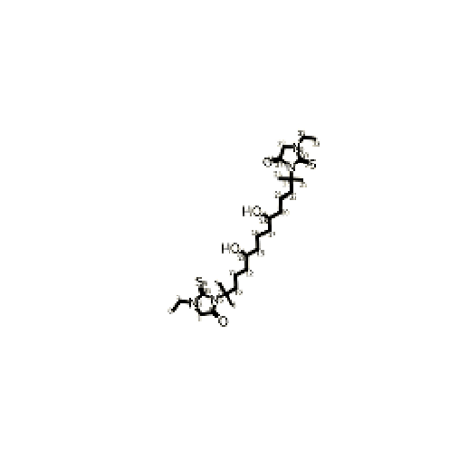 CCN1CC(=O)N(C(C)(C)CCCC(O)CCCC(O)CCCC(C)(C)N2C(=O)CN(CC)C2=S)C1=S